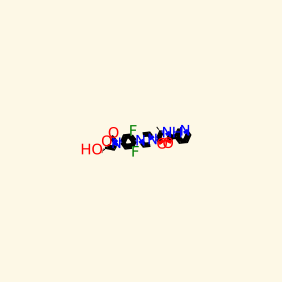 C[C@H](NC(=O)c1cccnc1)C(=O)N1CCN(c2c(F)cc(N3C[C@H](CO)OC3=O)cc2F)CC1